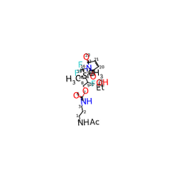 CC(=O)NCCCNC(=O)OCC(F)[Si](C)(C)C(F)(F)N1C(=O)C=CC1=O.CCO